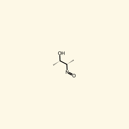 C[C@H](O)[C@H](C)N=O